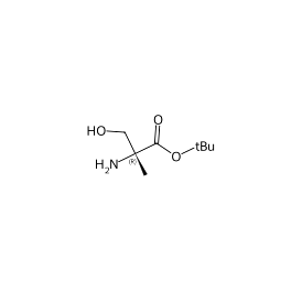 CC(C)(C)OC(=O)[C@](C)(N)CO